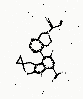 C=CC(=O)N1CCc2c(cccc2-c2c(F)cc(C(N)=O)c3[nH]c4c(c23)CC2(CC4)CC2)C1